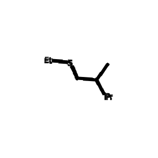 [CH2]CSCC(C)C(C)C